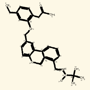 CCc1ccc(CC(=O)O)c(OCc2ccc3c(c2)-c2cccc(CN[S+]([O-])C(C)(C)C)c2CO3)c1